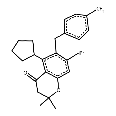 CC(C)c1cc2c(c(C3CCCC3)c1Cc1ccc(C(F)(F)F)cc1)C(=O)CC(C)(C)O2